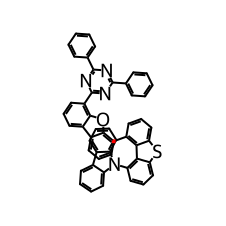 c1ccc(-c2nc(-c3ccccc3)nc(-c3cccc4c3oc3c(-c5cccc6sc7cccc(-n8c9ccccc9c9ccccc98)c7c56)cccc34)n2)cc1